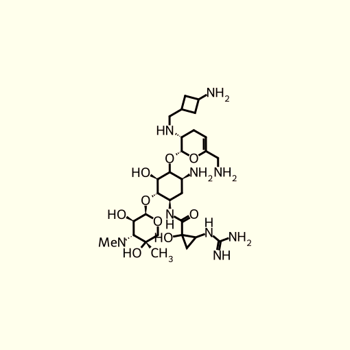 CN[C@@H]1[C@@H](O)[C@@H](O[C@H]2[C@H](NC(=O)C3(O)CC3NC(=N)N)C[C@H](N)C(O[C@H]3OC(CN)=CC[C@H]3NCC3CC(N)C3)[C@@H]2O)OC[C@]1(C)O